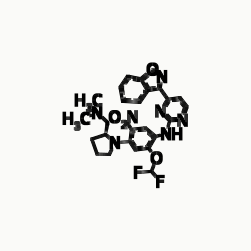 CN(C)C[C@@H]1CCCN1c1cc(OC(F)F)c(Nc2nccc(-c3noc4ccccc34)n2)cc1[N+](=O)[O-]